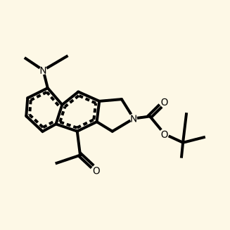 CC(=O)c1c2c(cc3c(N(C)C)cccc13)CN(C(=O)OC(C)(C)C)C2